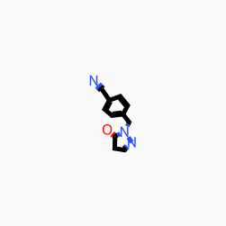 N#Cc1ccc(CN2N=CCC2=O)cc1